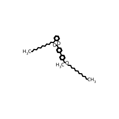 CCCCCCCCCCCCOC(C)c1ccc(-c2ccc(C(=O)Oc3ccccc3CCCCCCCCCCCC)cc2)cc1